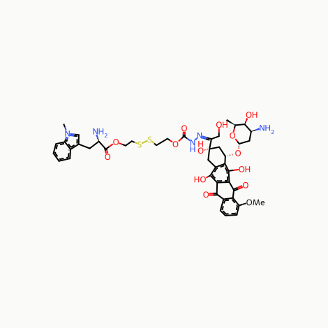 COc1cccc2c1C(=O)c1c(O)c3c(c(O)c1C2=O)C[C@@](O)(/C(CO)=N\NC(=O)OCCSSCCOC(=O)[C@H](N)Cc1cn(C)c2ccccc12)C[C@@H]3O[C@H]1C[C@H](N)[C@H](O)[C@H](C)O1